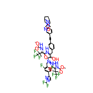 COC(=O)N[C@H](C(=O)N[C@@H](Cc1ccc(C#Cc2ccc(N3CC4CCC(C3)N4C3COC3)nc2)cc1)[C@@H](O)CN(Cc1c(F)cc(-c2ccn(C(F)F)n2)cc1F)NC(=O)[C@@H](NC(=O)OC)C(C)(C)C(F)(F)F)C(C)(C)C(F)(F)F